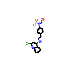 O=[SH](=O)N(CO)c1ccc(CCNc2cc(Cl)nc3ccccc23)cc1